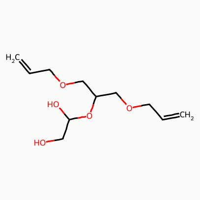 C=CCOCC(COCC=C)OC(O)CO